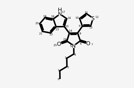 CCCCCN1C(=O)C(c2ccsc2)=C(c2c[nH]c3ccccc23)C1=O